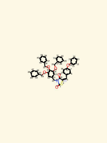 O=C1S/C(=C/c2ccc(Oc3ccccc3)cc2)C(=O)N1Cc1cc(OCc2ccccc2)c(OCc2ccccc2)c(OCc2ccccc2)c1